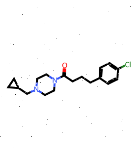 O=C(CCCc1ccc(Cl)cc1)N1CCN(CC2CC2)CC1